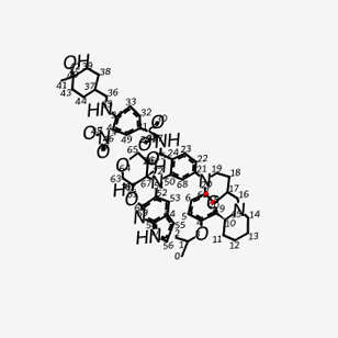 CC(C)Oc1ccccc1[C@@H]1CCCCN1CC1CCN(c2ccc(C(=O)NS(=O)(=O)c3ccc(NCC4CCC(C)(O)CC4)c([N+](=O)[O-])c3)c(N3c4cc5cc[nH]c5nc4O[C@H]4COCC[C@@H]43)c2)CC1